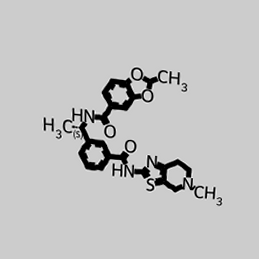 CC1Oc2ccc(C(=O)N[C@@H](C)c3cccc(C(=O)Nc4nc5c(s4)CN(C)CC5)c3)cc2O1